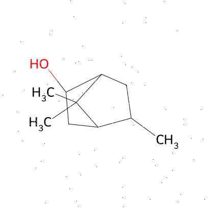 CC1CC2C(O)CC1C2(C)C